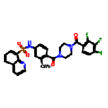 COc1cc(NS(=O)(=O)c2cccc3cccnc23)ccc1C(=O)N1CCN(C(=O)c2ccc(F)c(F)c2F)CC1